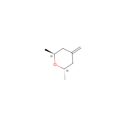 C=C1C[C@H](C)O[C@@H](C)C1